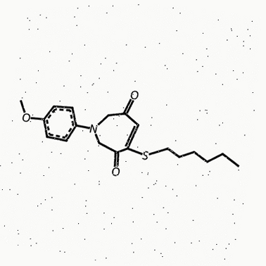 CCCCCCSC1=CC(=O)CN(c2ccc(OC)cc2)CC1=O